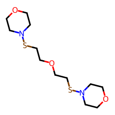 C(CSN1CCOCC1)OCCSN1CCOCC1